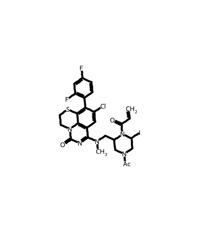 C=CC(=O)N1C(I)CN(C(C)=O)CC1CN(C)c1nc(=O)n2c3c(c(-c4ccc(F)cc4F)c(Cl)cc13)SCC2